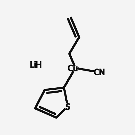 C=C[CH2][Cu]([C]#N)[c]1cccs1.[LiH]